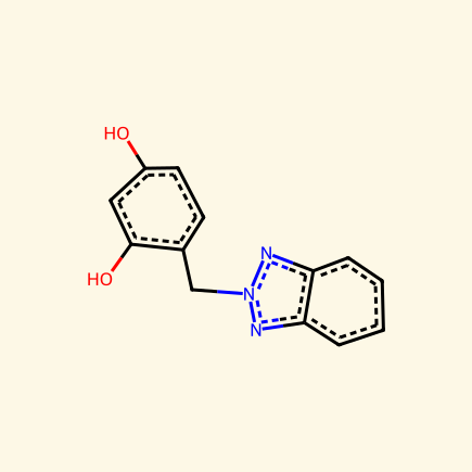 Oc1ccc(Cn2nc3ccccc3n2)c(O)c1